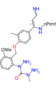 CCCCCN/C(=C\C=N)c1ccc(OCc2c(OC)cccc2N(N)C(=O)N(C)N)c(C)c1